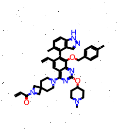 C=CC(=O)N1CC2(CCN(c3nc(OC4CCN(C)CC4)nc4c(OCc5ccc(C)cc5)c(-c5c(C)ccc6[nH]ncc56)c(C=C)cc34)CC2)C1